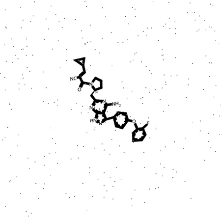 N#CC(=CC1CC1)C(=O)N1CCC[C@H]1Cc1nc(N)c2c(-c3ccc(Oc4ccccc4F)cc3)n[nH]c2n1